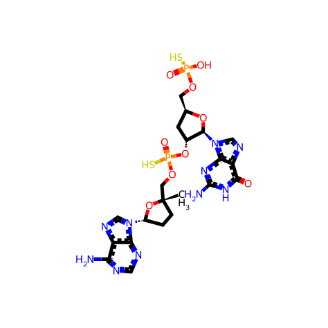 C[C@@]1(COP(=O)(S)O[C@@H]2C[C@@H](COP(=O)(O)S)O[C@H]2n2cnc3c(=O)[nH]c(N)nc32)CC[C@H](n2cnc3c(N)ncnc32)O1